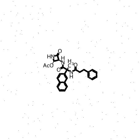 CC(=O)O[C@@H]1NC(=O)[C@H]1NC(=O)[C@](C)(NC(=O)CCc1ccccc1)c1ccc2ccccc2c1